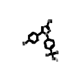 N#Cc1cc(-c2ccc(Cl)cc2)n(-c2ccc(S(N)(=O)=O)cc2)n1